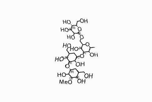 CO[C@@H]1C(O)[C@H](O[C@@H]2C(O)[C@H](O[C@@H]3C(O)C(C)OC(CO[C@@H]4OC(CO)[C@@H](O)[C@H](O)C4O)[C@H]3O)CC(CO)[C@H]2O)CC(CO)[C@H]1O